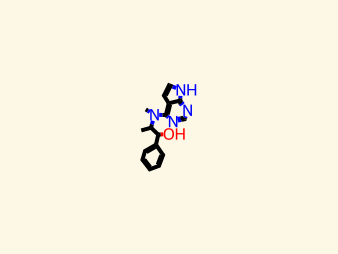 CC(C(O)c1ccccc1)N(C)c1ncnc2[nH]ccc12